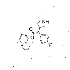 O=C(Oc1cccc2ccccc12)N(c1ccc(F)cc1)C1CCNC1